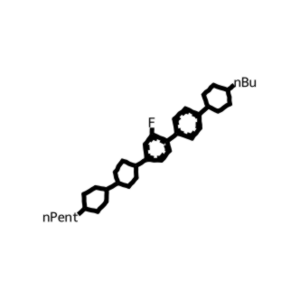 CCCCCC1CCC(C2CCC(c3ccc(-c4ccc(C5CCC(CCCC)CC5)cc4)c(F)c3)CC2)CC1